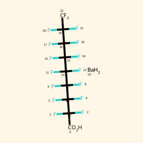 O=C(O)C(F)(F)C(F)(F)C(F)(F)C(F)(F)C(F)(F)C(F)(F)C(F)(F)C(F)(F)F.[BaH2]